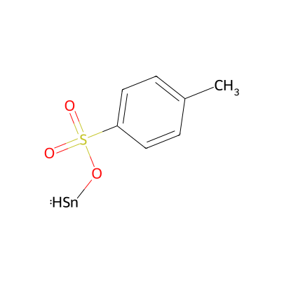 Cc1ccc(S(=O)(=O)[O][SnH])cc1